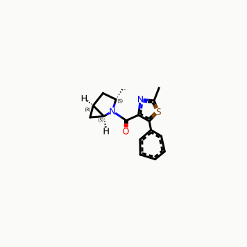 [CH2][C@H]1C[C@@H]2C[C@@H]2N1C(=O)c1nc(C)sc1-c1ccccc1